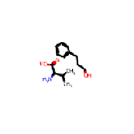 CC(C)C(N)C(=O)O.OCCCc1ccccc1